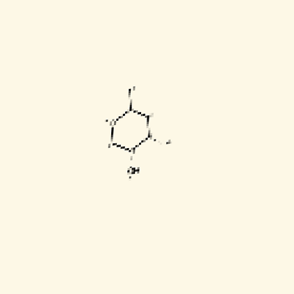 CC1C[C@H](C)[C@H](O)CO1